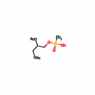 CC(=O)OCC(COP(C)(=O)O)OC(C)=O